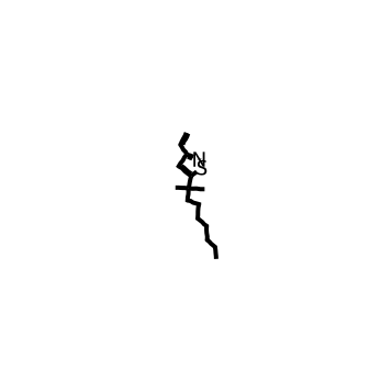 C=Cc1cc(C(C)(C)CCCCCCC)sn1